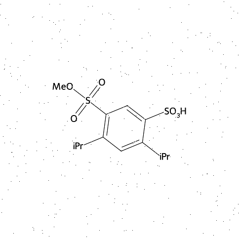 COS(=O)(=O)c1cc(S(=O)(=O)O)c(C(C)C)cc1C(C)C